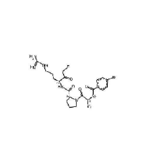 CC(C)[C@H](NC(=O)c1ccc(Br)cc1)C(=O)N1CCC[C@@H]1C(=O)N[C@@H](CCCNC(=N)N)C(=O)CF